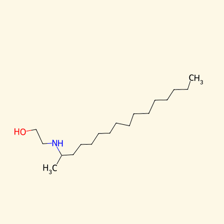 CCCCCCCCCCCCCCC(C)NCCO